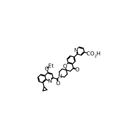 CCOc1cc(C(=O)N2CCC3(CC2)CC(=O)c2cc(-c4cc(C(=O)O)ccn4)ccc2O3)nc2c(C3CC3)cccc12